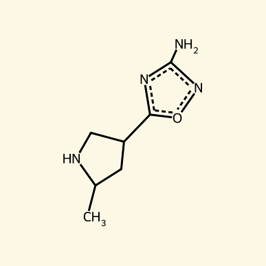 CC1CC(c2nc(N)no2)CN1